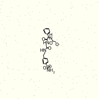 NS(=O)(=O)c1ccc(CCNC(=O)CNC(=O)[C@H](NC(=O)C[O])c2ccccc2)cc1